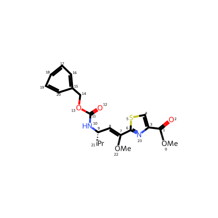 COC(=O)c1csc(/C(=C/[C@@H](NC(=O)OCc2ccccc2)C(C)C)OC)n1